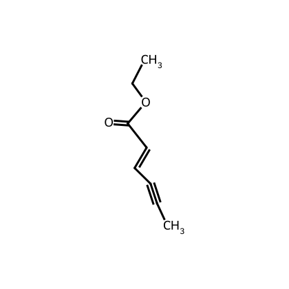 CC#CC=CC(=O)OCC